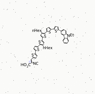 [C-]#[N+]/C(=C\c1ccc(-c2ccc(-c3sc(-c4cc(CCCCCC)c(-c5ccc(-c6ccc(-c7ccc8c(c7)c7ccccc7n8CC)s6)s5)s4)cc3CCCCCC)s2)s1)C(=O)O